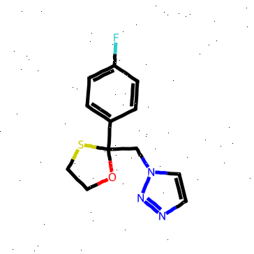 Fc1ccc(C2(Cn3ccnn3)OCCS2)cc1